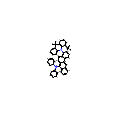 CC1(C)c2ccccc2N2c3c1cccc3C(C)(C)c1ccc3c(ccc4c(N(c5ccccc5)c5ccccc5)c5ccccc5cc43)c12